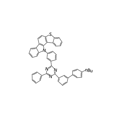 CCCCc1ccc(-c2cccc(-c3nc(-c4ccccc4)nc(-c4cccc(-n5c6ccccc6c6ccc7sc8ccccc8c7c65)c4)n3)c2)cc1